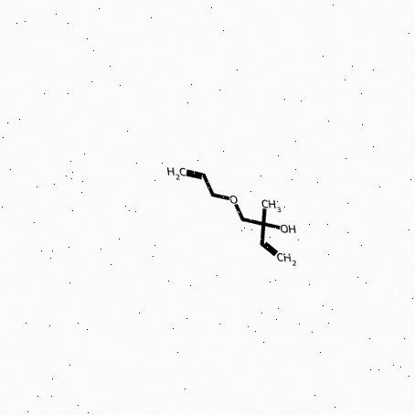 C=CCOCC(C)(O)C=C